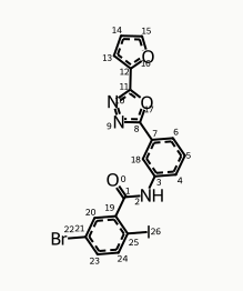 O=C(Nc1cccc(-c2nnc(-c3ccco3)o2)c1)c1cc(Br)ccc1I